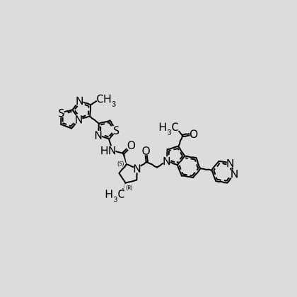 CC(=O)c1cn(CC(=O)N2C[C@H](C)C[C@H]2C(=O)Nc2nc(-c3c(C)nc4sccn34)cs2)c2ccc(-c3ccnnc3)cc12